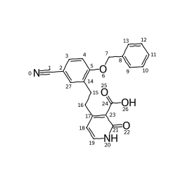 N#Cc1ccc(OCc2ccccc2)c(CCc2cc[nH]c(=O)c2C(=O)O)c1